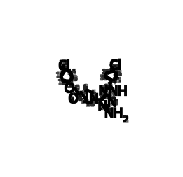 Nc1nc(N2CCN(C(=O)COc3ccc(Cl)cc3)CC2)c2nc(-c3ccc(Cl)cc3)[nH]c2n1